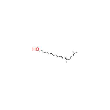 CC(C)=CCCC(C)=CC=CCCCCCCCCCO